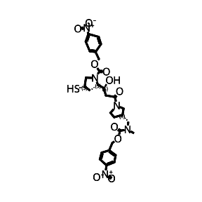 CN(C[C@@H]1CCN(C(=O)C[C@H](O)[C@@H]2C[C@H](S)CN2C(=O)OCc2ccc([N+](=O)[O-])cc2)C1)C(=O)OCc1ccc([N+](=O)[O-])cc1